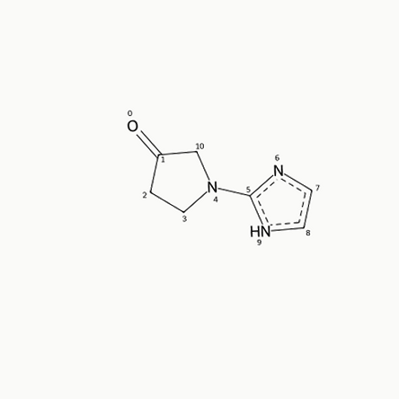 O=C1CCN(c2ncc[nH]2)C1